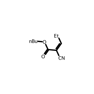 CCC=C(C#N)C(=O)OCCCC